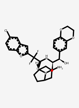 NC1CC2CC[C@H](C1)N2C[C@@H](NC(=O)C(F)(F)c1cc2cc(Cl)ccc2o1)[C@H](O)c1ccc2c(c1)OCCO2